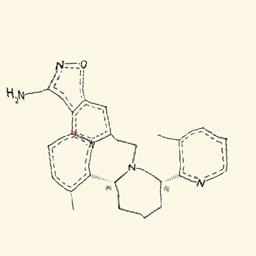 Cc1cccnc1[C@H]1CCC[C@@H](c2ncccc2C)N1Cc1ccc2c(N)noc2c1